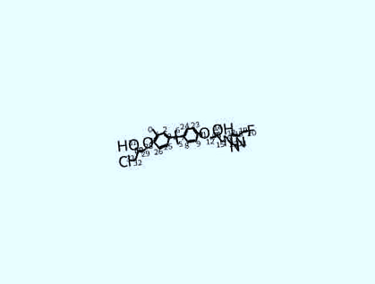 Cc1cc(C(C)(C)c2ccc(OC[C@H](O)Cn3cc(CF)nn3)cc2)ccc1OC[C@@H](O)CCl